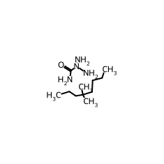 CCCCC(C)(C)CCC.NC(=O)N(N)N